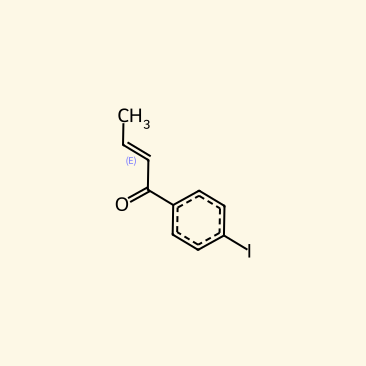 C/C=C/C(=O)c1ccc(I)cc1